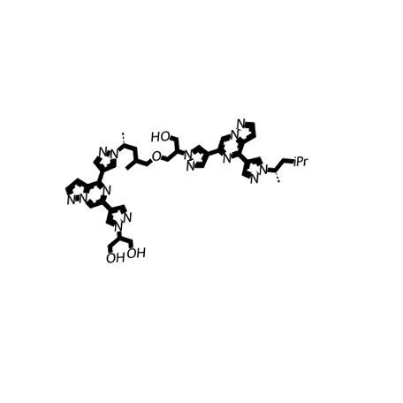 CC(C)C[C@H](C)n1cc(-c2nc(-c3cnn(C(CO)COCC(C)C[C@@H](C)n4cc(-c5nc(-c6cnn(C(CO)CO)c6)cn6nccc56)cn4)c3)cn3nccc23)cn1